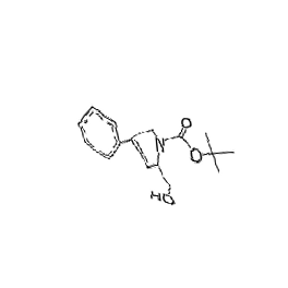 CC(C)(C)OC(=O)N1CC(c2ccccc2)=CC1CO